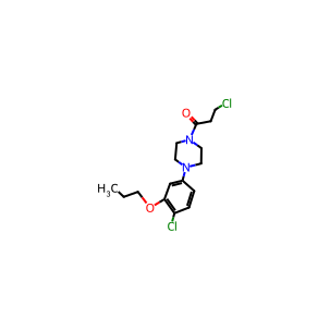 CCCOc1cc(N2CCN(C(=O)CCCl)CC2)ccc1Cl